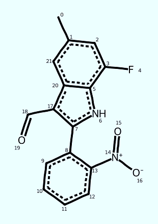 Cc1cc(F)c2[nH]c(-c3ccccc3[N+](=O)[O-])c(C=O)c2c1